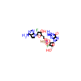 Nc1nc2c(ncn2[C@@H]2O[C@H](CO)[C@@H](F)[C@H]2OP(=O)(S)OCC[C@H]2O[C@@H](n3ccc4c(N)ncnc43)[C@@H](F)[C@@H]2O)c(=O)[nH]1